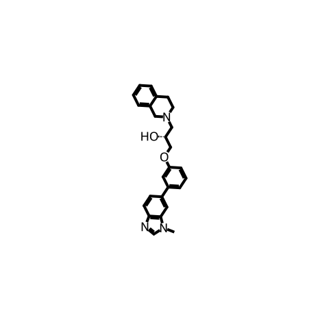 Cn1cnc2ccc(-c3cccc(OC[C@H](O)CN4CCc5ccccc5C4)c3)cc21